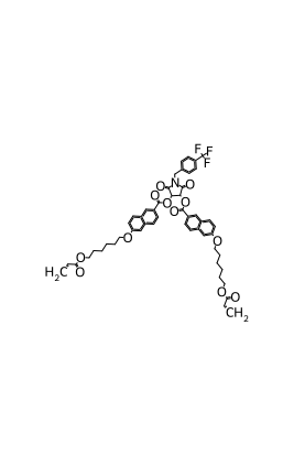 C=CC(=O)OCCCCCCOc1ccc2cc(C(=O)O[C@H]3C(=O)N(Cc4ccc(C(F)(F)F)cc4)C(=O)[C@@H]3OC(=O)c3ccc4cc(OCCCCCCOC(=O)C=C)ccc4c3)ccc2c1